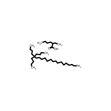 CCCCC(CC)C(=O)O.CCCCC(CCCC)(CCCC)CCCCCCCCCCCCCCCP